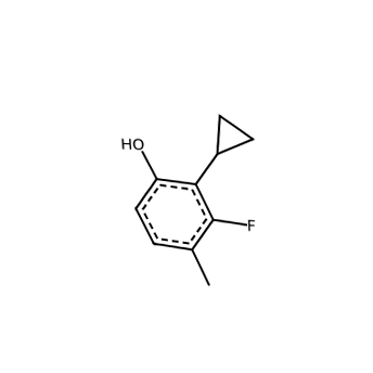 Cc1ccc(O)c(C2CC2)c1F